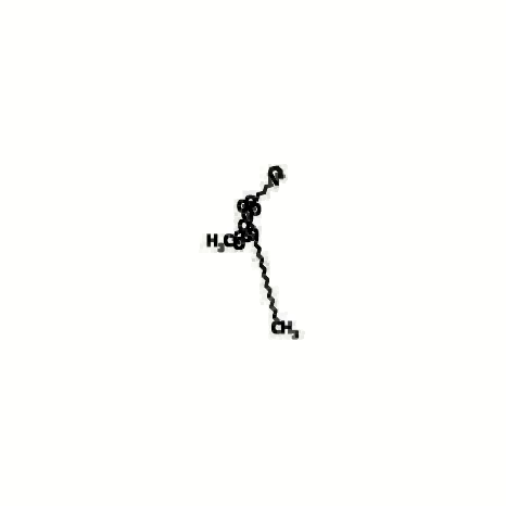 CCCCCCCCCCCCCCCCCCOCC(COP(=O)([O-])OCCCCC[n+]1ccccc1)OC(=O)CC(C)=O